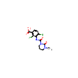 CN1CCCN(C(=O)Nc2c(Cl)ccc(C(=O)O)c2Cl)C1=O